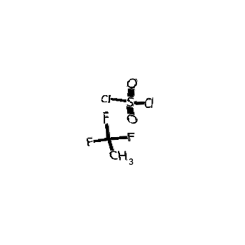 CC(F)(F)F.O=S(=O)(Cl)Cl